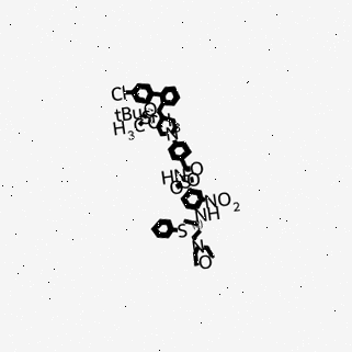 CC(C)(C)[Si](C)(C)OC(c1ccccc1-c1ccc(Cl)cc1)C1CCN(c2ccc(C(=O)NS(=O)(=O)c3ccc(N[C@H](CCN4CCOCC4)CSc4ccccc4)c([N+](=O)[O-])c3)cc2)CC1